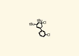 CC(C)(C)C1=CC(Cl)(C(C)(C)C)CC(c2cccc(Cl)c2)=C1